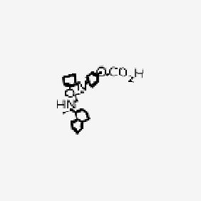 C[C@@H](NCC1CN(c2ccc(OCC(=O)O)cc2)c2ccccc2O1)c1cccc2ccccc12